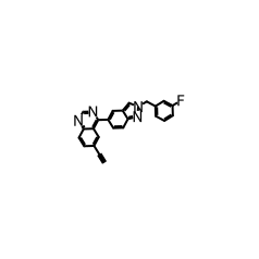 C#Cc1ccc2ncnc(-c3ccc4nn(Cc5cccc(F)c5)cc4c3)c2c1